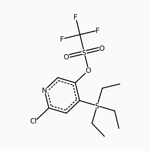 CCS(CC)(CC)c1cc(Cl)ncc1OS(=O)(=O)C(F)(F)F